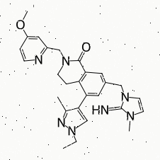 CCn1cc(-c2cc(Cn3ccn(C)c3=N)cc3c2CCN(Cc2cc(OC)ccn2)C3=O)c(C)n1